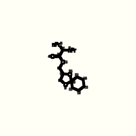 CCCC(CCC)C(=O)OCC1COC2(CCCCC2)O1